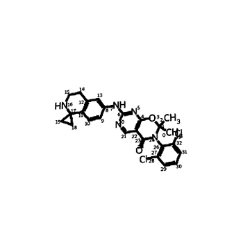 CC1(C)Oc2nc(Nc3ccc4c(c3)CCNC43CC3)ncc2C(=O)N1c1c(Cl)cccc1Cl